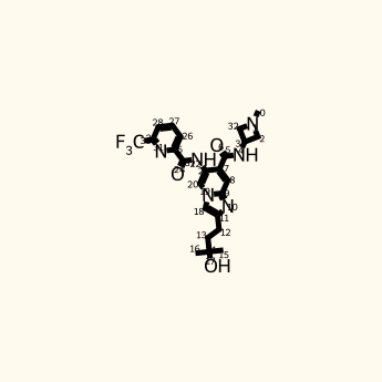 CN1CC(NC(=O)c2cc3nc(CCC(C)(C)O)cn3cc2NC(=O)c2cccc(C(F)(F)F)n2)C1